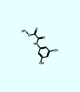 CCCOC(=O)C(=O)Nc1cc(O)cc(O)c1